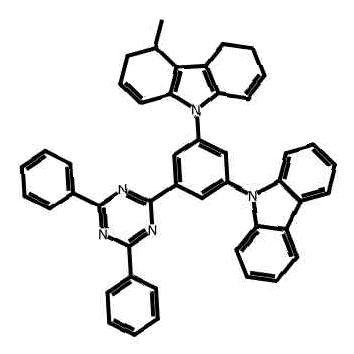 CC1CC=Cc2c1c1c(n2-c2cc(-c3nc(-c4ccccc4)nc(-c4ccccc4)n3)cc(-n3c4ccccc4c4ccccc43)c2)C=CCC1